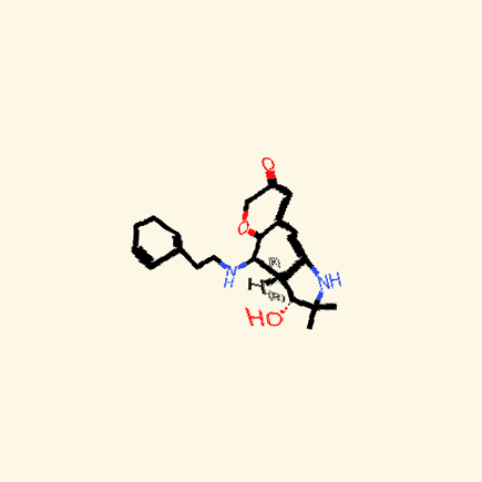 CC1(C)NC2=CC3=CC(=O)COC3C(NCCC3=CCCC=C3)[C@H]2[C@H]1O